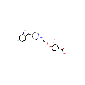 COc1cc(C(=O)CO)ccc1OCCCN1CCC(c2onc3cc(F)ccc23)CC1